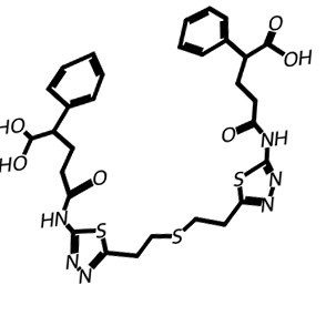 O=C(CCC(C(=O)O)c1ccccc1)Nc1nnc(CCSCCc2nnc(NC(=O)CCC(c3ccccc3)C(O)O)s2)s1